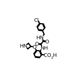 O=C(NCc1ccc(Cl)cc1)C(=O)Nc1c(OC2CNC2)cccc1C(=O)O